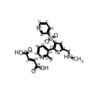 CNCc1cc(S(=O)(=O)c2cccnc2)c(-c2cccnc2F)s1.O=C(O)C=CC(=O)O